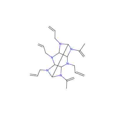 C=CCN1C2C3N(CC=C)C4C1N(CC=C)C(C(N2CC=C)N3C(=C)C)N4C(=C)C